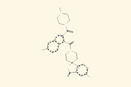 C=C(c1[nH]c2cc(Cl)ccc2c1C(=O)N1CCC2(CC1)OC(=O)c1cc(F)ccc12)N1CCN(C)CC1